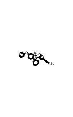 CC(=O)N(c1cc(C#CC(C)(C)C)sc1C(=O)O)C1(C2CCC(Oc3cccnc3)CC2)CCCCC1